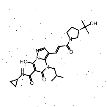 CC(C)Cn1c(=O)c(C(=O)NC2CC2)c(O)n2ncc(/C=C/C(=O)N3CC[C@@H](C(C)(C)O)C3)c12